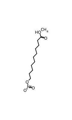 C.O=C(O)CCCCCCCCCCO[N+](=O)[O-]